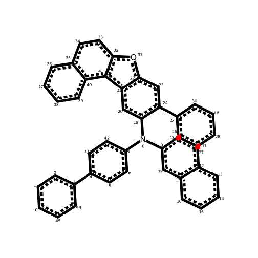 c1ccc(-c2ccc(N(c3ccc4ccccc4c3)c3cc4c(cc3-c3ccccc3)oc3ccc5ccccc5c34)cc2)cc1